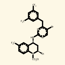 CCOC(=O)N1c2ccc(C(F)(F)F)cc2[C@@H](Nc2ncc(Br)c(Cc3cc(C(F)(F)F)cc(C(F)(F)F)c3)n2)C[C@H]1CC